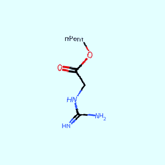 CCCCCOC(=O)CNC(=N)N